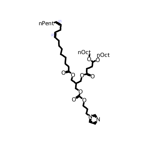 CCCCC/C=C\C/C=C\CCCCCCCC(=O)OCC(COC(=O)CCC(OCCCCCCCC)OCCCCCCCC)COC(=O)OCCCn1ccnc1